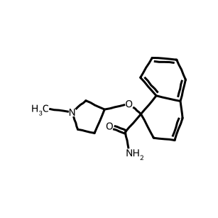 CN1CCC(OC2(C(N)=O)CC=Cc3ccccc32)C1